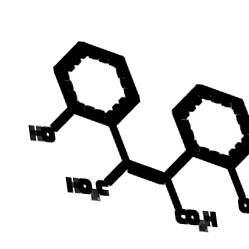 O=C(O)C(=C(C(=O)O)c1ccccc1O)c1ccccc1O